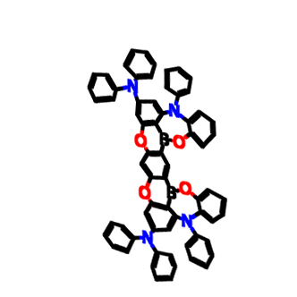 c1ccc(N(c2ccccc2)c2cc3c4c(c2)N(c2ccccc2)c2ccccc2OB4c2cc4c(cc2O3)Oc2cc(N(c3ccccc3)c3ccccc3)cc3c2B4Oc2ccccc2N3c2ccccc2)cc1